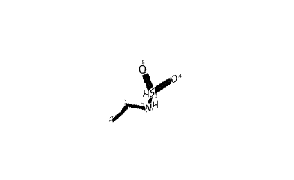 C[CH]N[SH](=O)=O